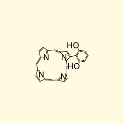 Oc1cccc(O)c1C1=CC2=CC3=NC(=CC4=NC(=CC5=NC(=CC1=N2)C=C5)C=C4)C=C3